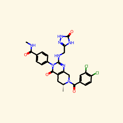 CNC(=O)c1ccc(-n2c(NCc3n[nH]c(=O)[nH]3)nc3c(c2=O)C[C@@H](C)N(C(=O)c2ccc(Cl)c(Cl)c2)C3)cc1